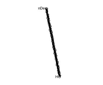 CCCCCCCCCCOCCOCCOCCOCCOCCOCCOCCOCCOCCOCCOCCOCCOCCOCCOCCOCCOCCOCCOCCOCCOCCOCCOCCO